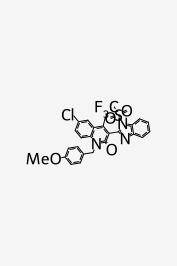 COc1ccc(Cn2c(=O)c(-c3nc4ccccc4n3S(=O)(=O)C(F)(F)F)c(C)c3cc(Cl)ccc32)cc1